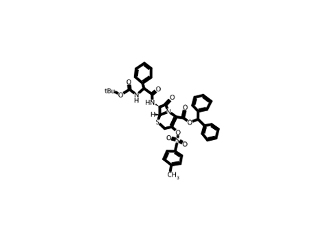 Cc1ccc(S(=O)(=O)OC2=C(C(=O)OC(c3ccccc3)c3ccccc3)N3C(=O)[C@@H](NC(=O)C(NC(=O)OC(C)(C)C)c4ccccc4)[C@H]3SC2)cc1